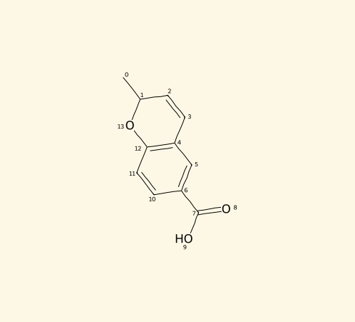 CC1C=Cc2cc(C(=O)O)ccc2O1